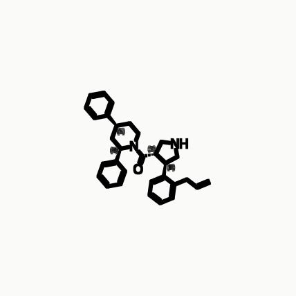 C=CCc1ccccc1[C@@H]1CNC[C@H]1C(=O)N1CC[C@H](c2ccccc2)C[C@@H]1c1ccccc1